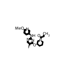 C=CC(=O)N1CCC[C@H](Oc2nc(Nc3ccc(OC)nc3)ncc2F)C1